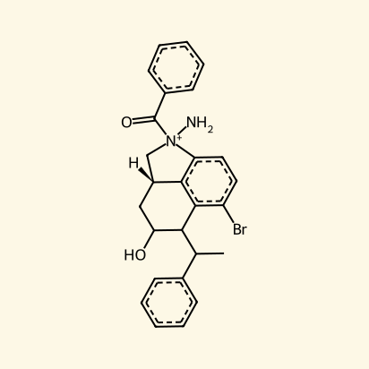 CC(c1ccccc1)C1c2c(Br)ccc3c2[C@H](CC1O)C[N+]3(N)C(=O)c1ccccc1